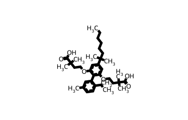 C=C(C)c1ccc(C)cc1-c1c(OCCC(C)(C)C(=O)O)cc(C(C)(C)CCCCCC)cc1OCCC(C)(C)C(=O)O